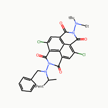 CCCCCC(C)N(Cc1ccccc1)N1C(=O)c2cc(Cl)c3c4c(cc(Cl)c(c24)C1=O)C(=O)N(N(CC)C(C)(C)C)C3=O